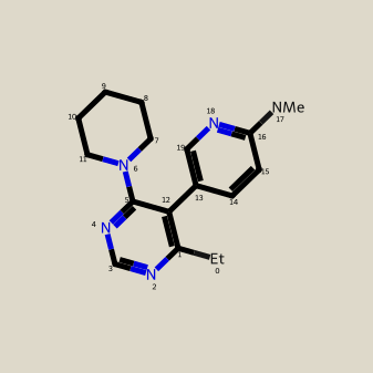 CCc1ncnc(N2CCCCC2)c1-c1ccc(NC)nc1